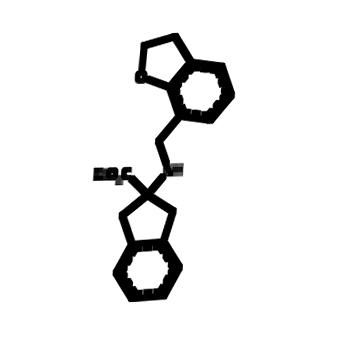 CCOC(=O)C1(NCc2cccc3c2OCC3)Cc2ccccc2C1